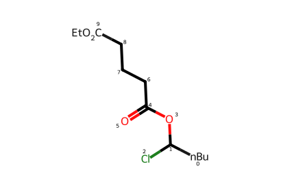 CCCCC(Cl)OC(=O)CCCC(=O)OCC